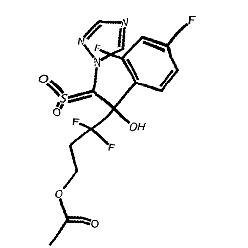 CC(=O)OCCC(F)(F)C(O)(C(n1cncn1)=S(=O)=O)c1ccc(F)cc1F